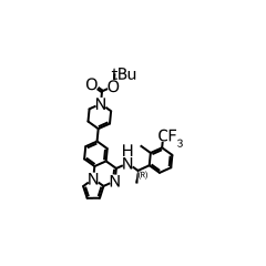 Cc1c([C@@H](C)Nc2nc3cccn3c3ccc(C4=CCN(C(=O)OC(C)(C)C)CC4)cc23)cccc1C(F)(F)F